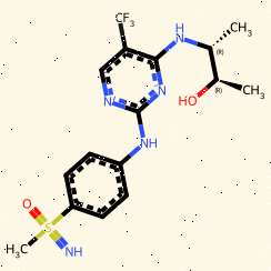 C[C@@H](O)[C@@H](C)Nc1nc(Nc2ccc(S(C)(=N)=O)cc2)ncc1C(F)(F)F